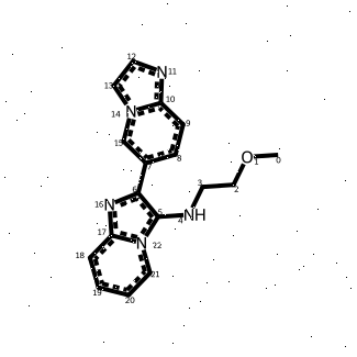 COCCNc1c(-c2ccc3nccn3c2)nc2ccccn12